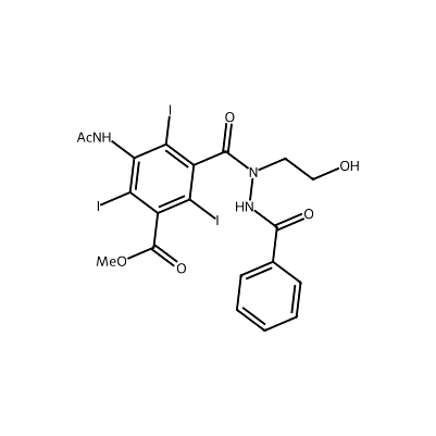 COC(=O)c1c(I)c(NC(C)=O)c(I)c(C(=O)N(CCO)NC(=O)c2ccccc2)c1I